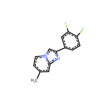 Cc1ccn2cc(-c3ccc(F)c(F)c3)nc2c1